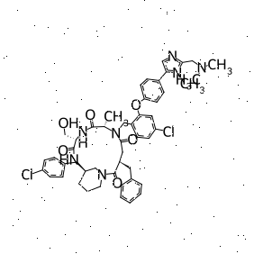 C[C@H]1C(=O)N[C@@H](CO)C(=O)N[C@@]2(Cc3ccc(Cl)cc3)CCCN(C2)C(=O)[C@H](Cc2ccccc2)CC(=O)N1Cc1ccc(Cl)cc1Oc1ccc(-c2cnc(CN(C)C)n2C)cc1